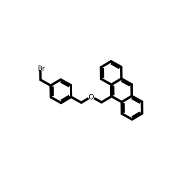 BrCc1ccc(COCc2c3ccccc3cc3ccccc23)cc1